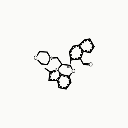 Cc1cc2cccc3c2n1C(CN1CCOCC1)[C@@H](c1ccc2ccccc2c1C=O)O3